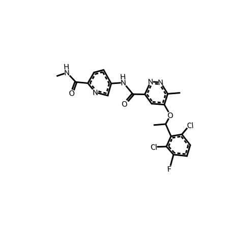 CNC(=O)c1ccc(NC(=O)c2cc(OC(C)c3c(Cl)ccc(F)c3Cl)c(C)nn2)cn1